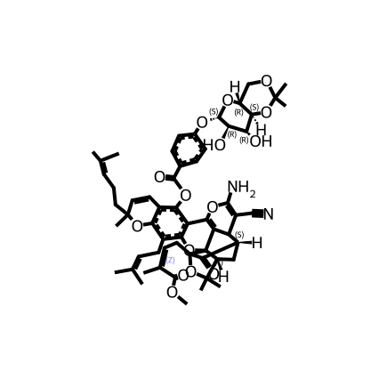 COC(=O)/C(C)=C\CC12OC(C)(C)[C@H]3C[C@H](C1=O)C1C(C#N)=C(N)OC4=C1C32Oc1c(CC=C(C)C)c2c(c(OC(=O)c3ccc(O[C@@H]5O[C@@H]6COC(C)(C)O[C@H]6[C@H](O)[C@H]5O)cc3)c14)C=CC(C)(CCC=C(C)C)O2